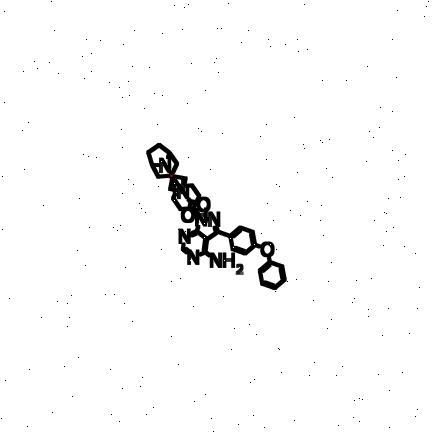 Nc1ncnc2c1c(-c1ccc(Oc3ccccc3)cc1)nn2C1CCN(C2CC3CCC(C2)N3C2CN(C(=O)O)C2)CC1